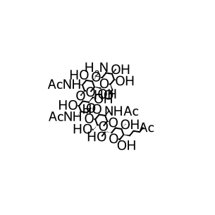 CC(=O)CCC[C@@H]1[C@@H](O)[C@H](O[C@@H]2O[C@H](CO)[C@@H](O[C@@H]3O[C@H](CO)[C@@H](O[C@@H]4O[C@H](CO)[C@@H](O[C@@H]5O[C@H](CO)[C@@H](O)[C@H](O)[C@H]5N)[C@H](O)[C@H]4NC(C)=O)[C@H](O)[C@H]3NC(C)=O)[C@H](O)[C@H]2NC(C)=O)[C@@H](CO)O[C@H]1O